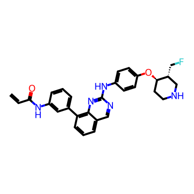 C=CC(=O)Nc1cccc(-c2cccc3cnc(Nc4ccc(O[C@@H]5CCNC[C@H]5CF)cc4)nc23)c1